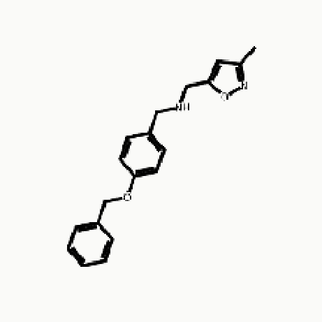 Cc1cc(CNCc2ccc(OCc3ccccc3)cc2)on1